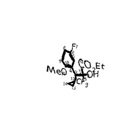 CCOC(=O)C(O)(C(c1cc(F)ccc1OC)C1CC1)C(F)(F)F